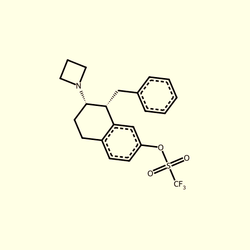 O=S(=O)(Oc1ccc2c(c1)[C@@H](Cc1ccccc1)[C@@H](N1CCC1)CC2)C(F)(F)F